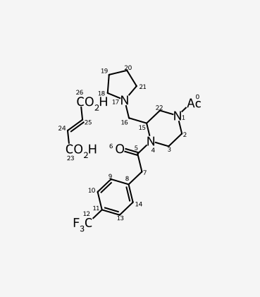 CC(=O)N1CCN(C(=O)Cc2ccc(C(F)(F)F)cc2)C(CN2CCCC2)C1.O=C(O)/C=C/C(=O)O